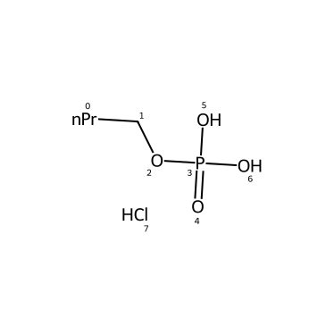 CCCCOP(=O)(O)O.Cl